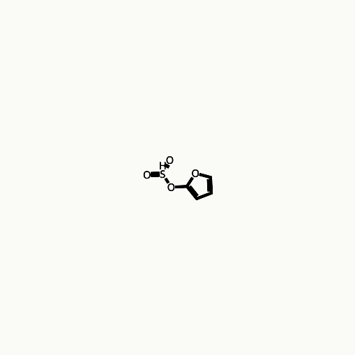 O=[SH](=O)Oc1ccco1